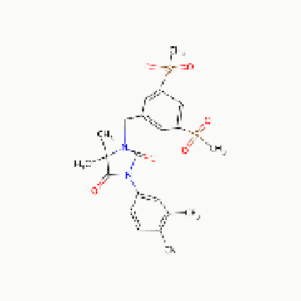 CC1(C)C(=O)N(c2ccc(C#N)c(C(F)(F)F)c2)C(=O)N1Cc1cc(S(C)(=O)=O)cc(S(C)(=O)=O)c1